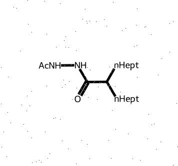 CCCCCCCC(CCCCCCC)C(=O)NNC(C)=O